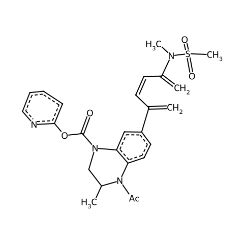 C=C(/C=C\C(=C)N(C)S(C)(=O)=O)c1ccc2c(c1)N(C(=O)Oc1ccccn1)CC(C)N2C(C)=O